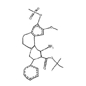 COc1cc2c(cc1OS(C)(=O)=O)CCN1CC(c3ccccc3)C(C(=O)OC(C)(C)C)C(N)C21